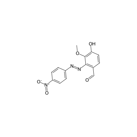 COc1c(O)ccc(C=O)c1N=Nc1ccc([N+](=O)[O-])cc1